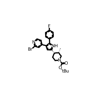 C[C@@H]1CN(C(=O)OC(C)(C)C)CC[C@@H]1c1cc(-c2ccnc(Br)c2)c(-c2ccc(F)cc2)[nH]1